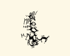 CC(C)=CCn1cc(-c2ccc(NC(=O)Nc3cc(C(C)(C)C)on3)cc2)c2c(N)ncnc21